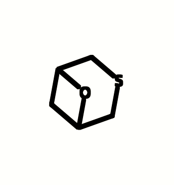 C1SCC2CC1O2